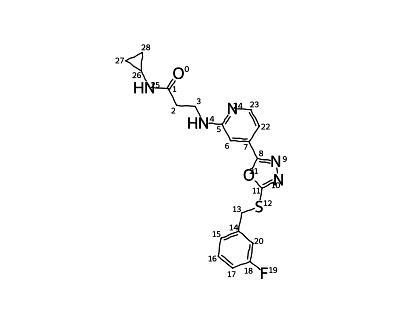 O=C(CCNc1cc(-c2nnc(SCc3cccc(F)c3)o2)ccn1)NC1CC1